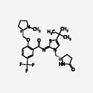 CN1CCC[C@H]1COc1ccc(C(F)(F)F)cc1C(=O)N=c1sc(C(C)(C)C)cn1C[C@@H]1CCC(=O)N1